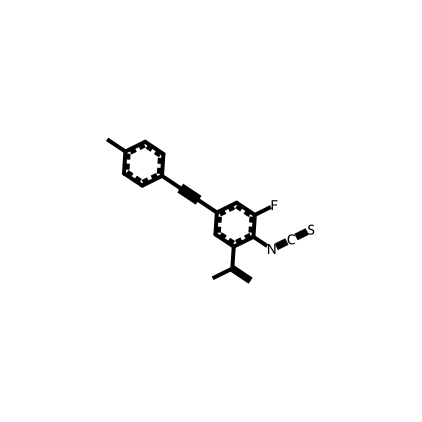 C=C(C)c1cc(C#Cc2ccc(C)cc2)cc(F)c1N=C=S